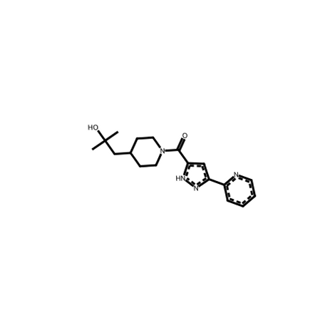 CC(C)(O)CC1CCN(C(=O)c2cc(-c3ccccn3)n[nH]2)CC1